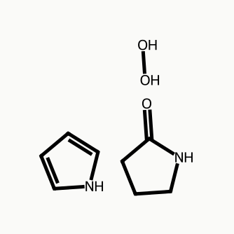 O=C1CCCN1.OO.c1cc[nH]c1